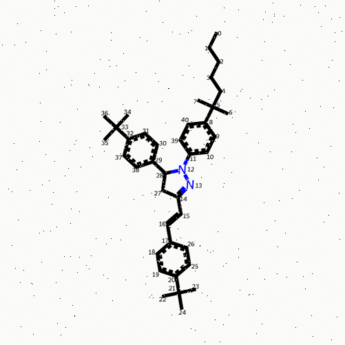 CCCCCC(C)(C)c1ccc(N2N=C(C=Cc3ccc(C(C)(C)C)cc3)CC2c2ccc(C(C)(C)C)cc2)cc1